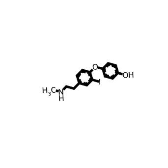 CNCCc1ccc(Oc2ccc(O)cc2)c(I)c1